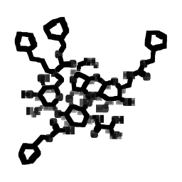 CCC[C@H](O)C(=O)N[C@@H]1C[C@H](NC(=O)OCc2ccccc2)[C@@H](O[C@H]2O[C@H](CN(CCCc3ccccc3)C(=O)OCc3ccccc3)[C@@H](O)[C@H](O)[C@H]2C)[C@H](O[C@@H]2O[C@H](CN)[C@@H](O[C@H]3O[C@@H](CNC(=O)OCc4ccccc4)[C@@H](O)[C@H](O)[C@H]3C)[C@H]2O)[C@H]1O